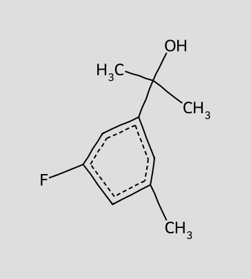 Cc1cc(F)cc(C(C)(C)O)c1